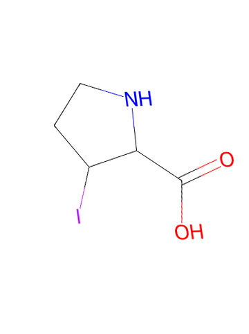 O=C(O)C1NCCC1I